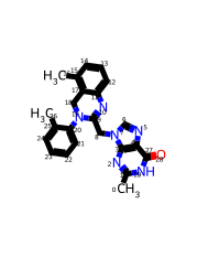 Cc1nc2c(ncn2CC2=Nc3cccc(C)c3CN2c2ccccc2C)c(=O)[nH]1